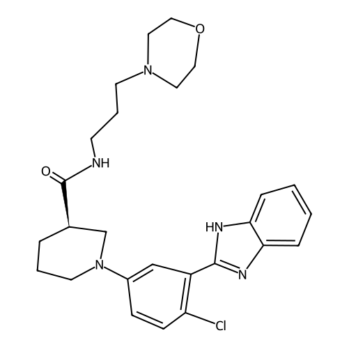 O=C(NCCCN1CCOCC1)[C@@H]1CCCN(c2ccc(Cl)c(-c3nc4ccccc4[nH]3)c2)C1